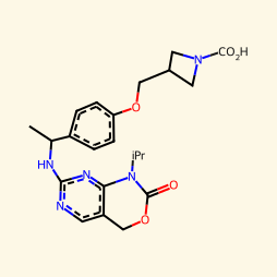 CC(Nc1ncc2c(n1)N(C(C)C)C(=O)OC2)c1ccc(OCC2CN(C(=O)O)C2)cc1